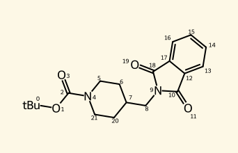 CC(C)(C)OC(=O)N1CCC(CN2C(=O)c3ccccc3C2=O)CC1